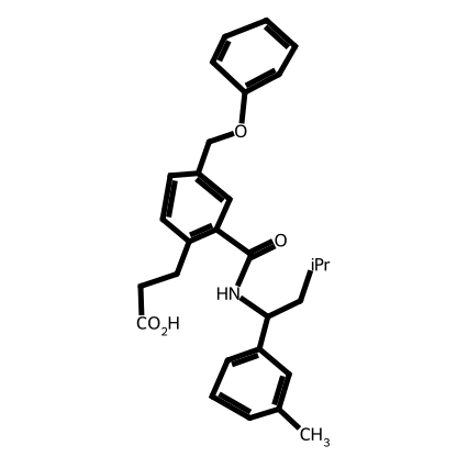 Cc1cccc(C(CC(C)C)NC(=O)c2cc(COc3ccccc3)ccc2CCC(=O)O)c1